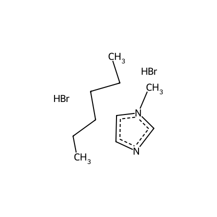 Br.Br.CCCCCC.Cn1ccnc1